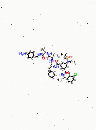 CC(C)[C@H](NC(=O)[C@H](C)NC[C@H](Cc1ccccc1)NC(=O)c1cc(C(=O)N[C@H](C)c2cccc(Cl)c2)cc(N(C)S(C)(=O)=O)c1)C(=O)NCc1ccc(N)cc1